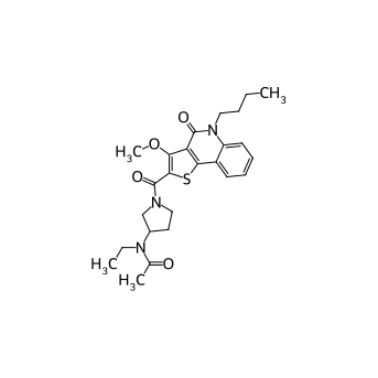 CCCCn1c(=O)c2c(OC)c(C(=O)N3CCC(N(CC)C(C)=O)C3)sc2c2ccccc21